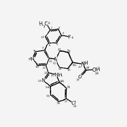 Cc1cc(F)cc(-c2cncc(-c3nc4ccc(Cl)cc4[nH]3)c2N2CCC(NC(=O)O)CC2)c1